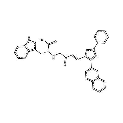 O=C(C=Cc1cn(-c2ccccc2)nc1-c1ccc2ccccc2c1)CN[C@H](Cc1c[nH]c2ccccc12)C(=O)O